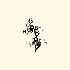 COc1ncc(-c2ccc3nc(N)c(-c4ccc(C(=O)N5CCOCC5)c(OC)c4OC)cc3c2)cc1N(C)S(=O)(=O)c1ccc(F)cc1F